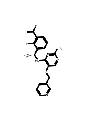 Cc1ncc(OCc2cccnc2)c(N[C@H](C)c2cccc(C(F)F)c2F)n1